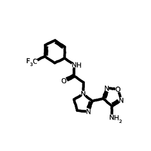 Nc1nonc1C1=NCCN1CC(=O)NC1C=CC=C(C(F)(F)F)C1